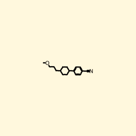 COCCCC1CCC(c2ccc(C#N)cc2)CC1